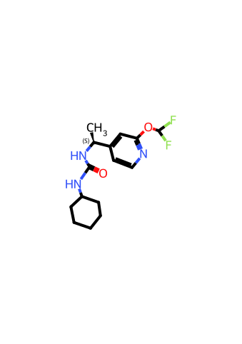 C[C@H](NC(=O)NC1CCCCC1)c1ccnc(OC(F)F)c1